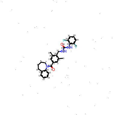 Cc1cc(C(=O)N2CCCCc3ccccc32)cc(C)c1CNC(=O)Nc1c(F)cccc1F